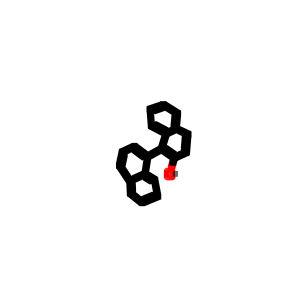 [O]c1ccc2ccccc2c1-c1cccc2ccccc12